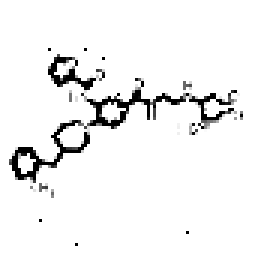 Cc1ccccc1CC1CCCN(c2ccc(C(=O)NCCNC3CS(=O)(=O)C[C@@H]3O)cc2NC(=O)c2ccco2)CC1